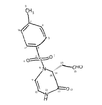 Cc1ccc(S(=O)(=O)N2C=CNC(=O)[C@H]2CC=O)cc1